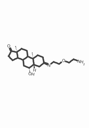 C[C@]12CCC3C(C[C@@H](O)[C@H]4C/C(=N/CCOCCN)CC[C@]34C)C1CCC2=O